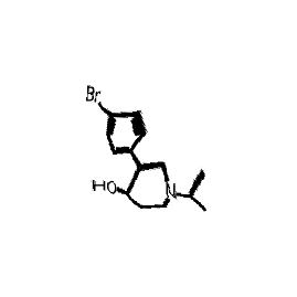 CC(C)N1CCC(O)C(c2ccc(Br)cc2)C1